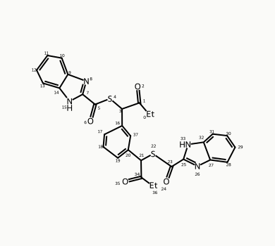 CCC(=O)C(SC(=O)c1nc2ccccc2[nH]1)c1cccc(C(SC(=O)c2nc3ccccc3[nH]2)C(=O)CC)c1